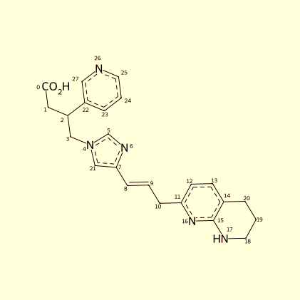 O=C(O)CC(Cn1cnc(C=CCc2ccc3c(n2)NCCC3)c1)c1cccnc1